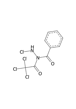 O=C(c1ccccc1)N(NCl)C(=O)C(Cl)(Cl)Cl